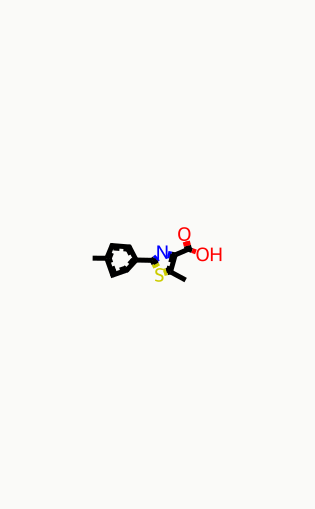 Cc1ccc(-c2nc(C(=O)O)c(C)s2)cc1